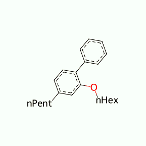 CCCCCCOc1cc(CCCCC)ccc1-c1ccccc1